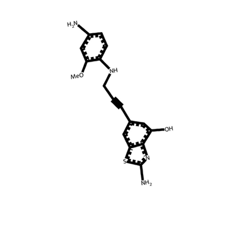 COc1cc(N)ccc1NCC#Cc1cc(O)c2nc(N)sc2c1